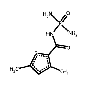 Cc1cc(C)c(C(=O)NP(N)(N)=O)s1